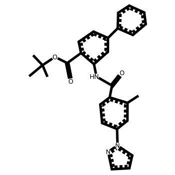 Cc1cc(-n2cccn2)ccc1C(=O)Nc1cc(-c2ccccc2)ccc1C(=O)OC(C)(C)C